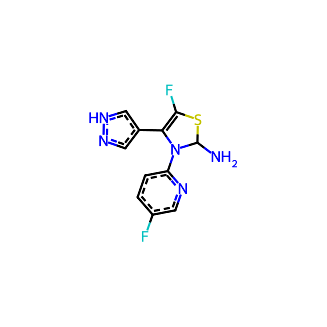 NC1SC(F)=C(c2cn[nH]c2)N1c1ccc(F)cn1